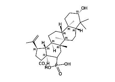 C=C(C)[C@@H]1CC[C@]2(C(=O)O)C(P(=O)(O)O)C[C@]3(C)[C@H](CC[C@@H]4[C@@]5(C)CC[C@H](O)C(C)(C)[C@@H]5CC[C@]43C)[C@@H]12